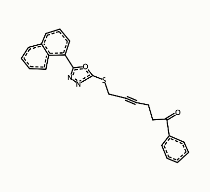 O=C(CCC#CCSc1nnc(-c2cccc3ccccc23)o1)c1ccccc1